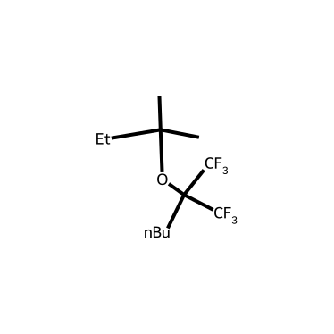 CCCCC(OC(C)(C)CC)(C(F)(F)F)C(F)(F)F